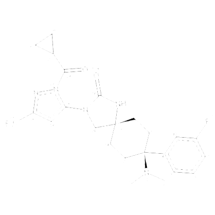 CN(C)[C@]1(c2cccc(F)c2)CC[C@@]2(CC1)CN(c1cc(C(F)(F)F)nn1C(=O)C1CC1)C(=O)N2